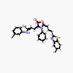 Cc1ccc2c(c1)NC(=CC=c1c(=O)oc(=CC=Cc3nc4cc(C)ccc4s3)n1-c1ccccc1)S2